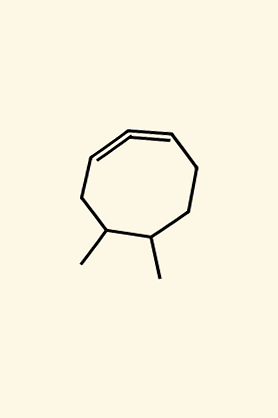 CC1CC=C=CCCC1C